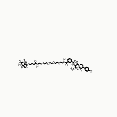 CC(C)[C@@H](NC(=O)c1cccc(C(=O)NCCOCCOCCOCCOCCNC(=O)CCCC[C@@H]2SC[C@@H]3NC(=O)N[C@@H]32)c1)C(=O)N1CCC(c2ccc(Cl)cc2)CC1